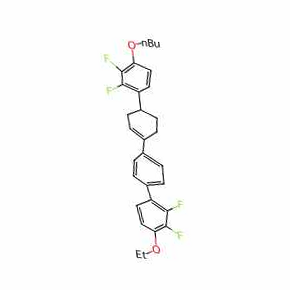 CCCCOc1ccc(C2CC=C(c3ccc(-c4ccc(OCC)c(F)c4F)cc3)CC2)c(F)c1F